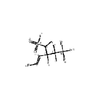 CC(C(F)(C=CF)C(C)(C)C(F)(F)F)S(=O)(=O)F